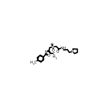 Cc1ccc(-c2nc(CS(=O)(=O)CC(=O)NCCCN3CCCC3)c(C)o2)cc1